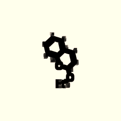 CCOC1C=Cc2ccccc2O1